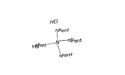 Br.CCCCC[N+](CCCCC)(CCCCC)CCCCC.Cl